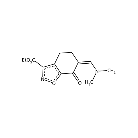 CCOC(=O)c1noc2c1CC/C(=C/N(C)C)C2=O